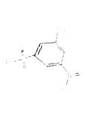 Nc1cc([N+](=O)[O-])cc(S(=O)(=O)O)c1